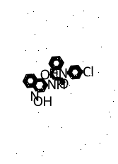 O=C1C(NC(Cc2ccccc2)C(=O)Nc2ccc(Cl)cc2)=CC(=NO)c2ccccc21